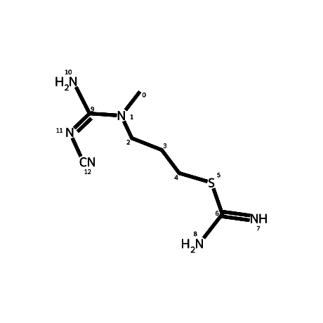 CN(CCCSC(=N)N)C(N)=NC#N